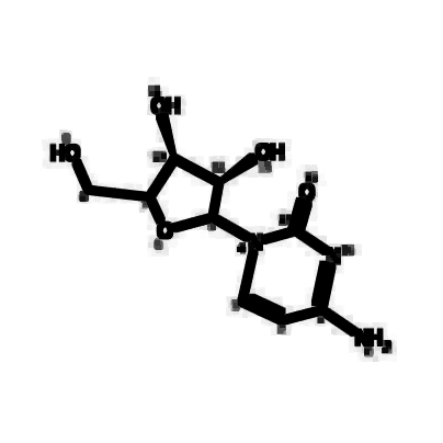 Nc1ccn(C2OC(CO)[C@@H](O)[C@H]2O)c(=O)n1